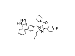 CCCCc1nc(-c2ccc(F)cc2)c(C(=O)N2CCCCC2)n1Cc1ccc(-c2ccccc2-c2nnn[nH]2)cc1